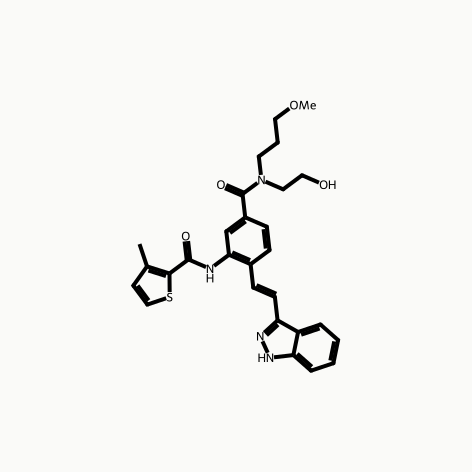 COCCCN(CCO)C(=O)c1ccc(/C=C/c2n[nH]c3ccccc23)c(NC(=O)c2sccc2C)c1